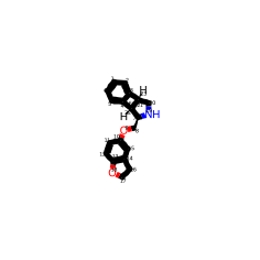 c1ccc2c(c1)[C@@H]1[C@H](COc3ccc4c(c3)CCO4)NC[C@H]21